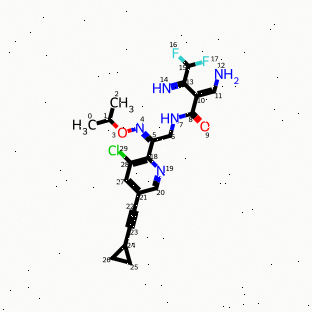 CC(C)O/N=C(/CNC(=O)/C(=C/N)C(=N)C(F)F)c1ncc(C#CC2CC2)cc1Cl